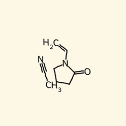 C=CN1CCCC1=O.CC#N